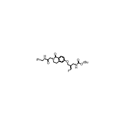 CC(C)CNC(=O)CN1CCc2cc(OC/C(=C\F)CNC(=O)OC(C)(C)C)ccc2C1=O